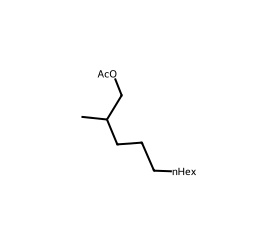 CCCCCCCCCC(C)COC(C)=O